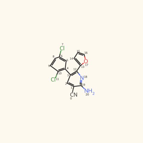 N#Cc1cc(-c2cc(Cl)ccc2Cl)c(-c2ccco2)nc1N